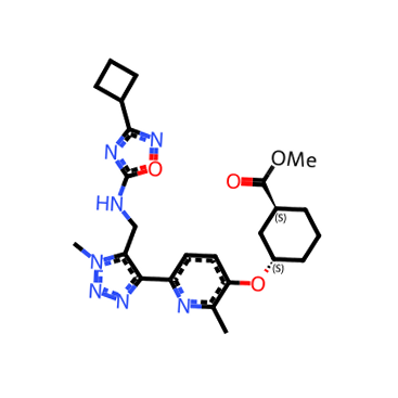 COC(=O)[C@H]1CCC[C@H](Oc2ccc(-c3nnn(C)c3CNc3nc(C4CCC4)no3)nc2C)C1